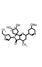 COC1CN=CC(C2CC(C)C3C(=O)N(C4C=NN(CC(F)(F)F)C4)C4(C[C@@H](O)[C@@H](O)C4)C3=N2)C1